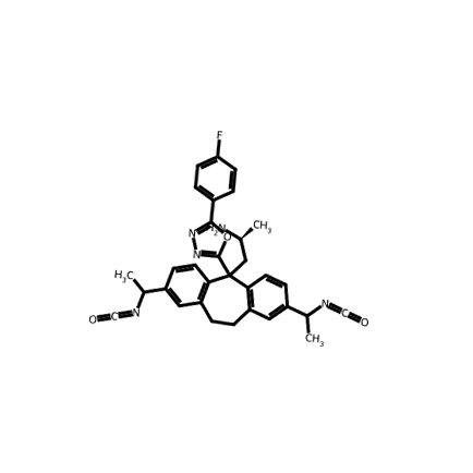 CC(N=C=O)c1ccc2c(c1)CCc1cc(C(C)N=C=O)ccc1C2(C[C@H](C)N)c1nnc(-c2ccc(F)cc2)o1